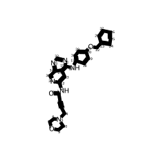 O=C(C#CCN1CCOCC1)Nc1cc2c(Nc3ccc(OCc4ccccc4)cc3)ncnc2cn1